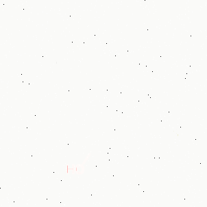 C[Si](C)(C)C#CC(O)c1ccsc1